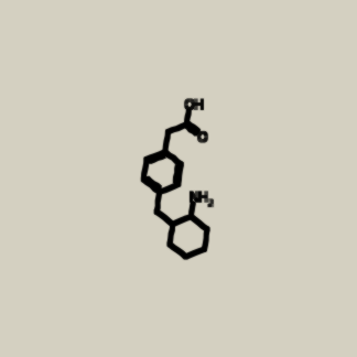 NC1CCCCC1Cc1ccc(CC(=O)O)cc1